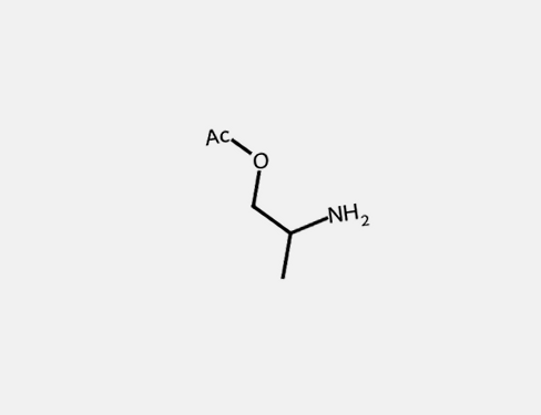 CC(=O)OCC(C)N